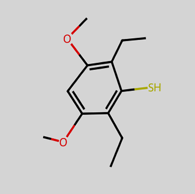 CCc1c(OC)cc(OC)c(CC)c1S